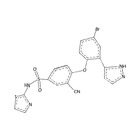 N#Cc1cc(S(=O)(=O)Nc2nccs2)ccc1Oc1ccc(Br)cc1-c1ccn[nH]1